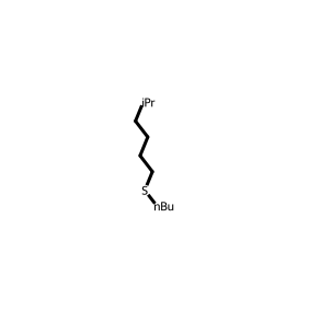 CCCCSCCCCC(C)C